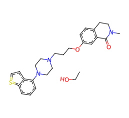 CCO.CN1CCc2ccc(OCCCN3CCN(c4cccc5sccc45)CC3)cc2C1=O